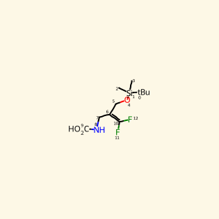 CC(C)(C)[Si](C)(C)OCC(CNC(=O)O)=C(F)F